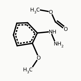 COC=O.COc1ccccc1NN